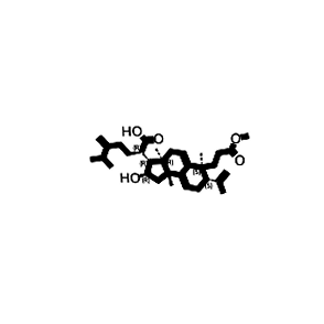 C=C(CC[C@@H](C(=O)O)[C@H]1[C@H](O)C[C@@]2(C)C3=CC[C@@H](C(=C)C)[C@](C)(CCC(=O)OC)C3=CC[C@]12C)C(C)C